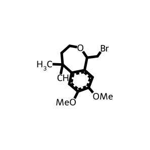 COc1cc2c(cc1OC)C(C)(C)CCOC2CBr